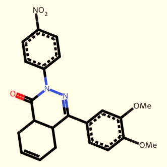 COc1ccc(C2=NN(c3ccc([N+](=O)[O-])cc3)C(=O)C3CC=CCC23)cc1OC